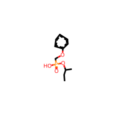 CCC(C)OP(=O)(O)COc1ccccc1